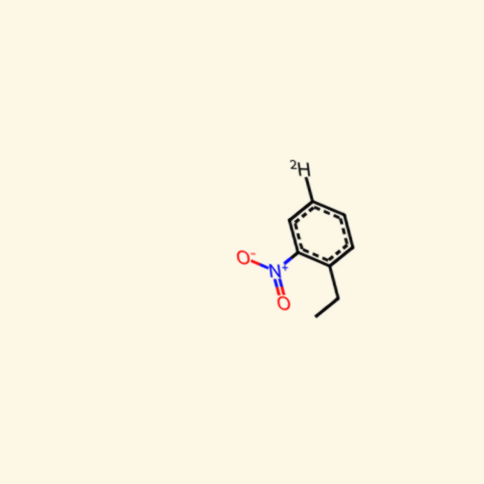 [2H]c1ccc(CC)c([N+](=O)[O-])c1